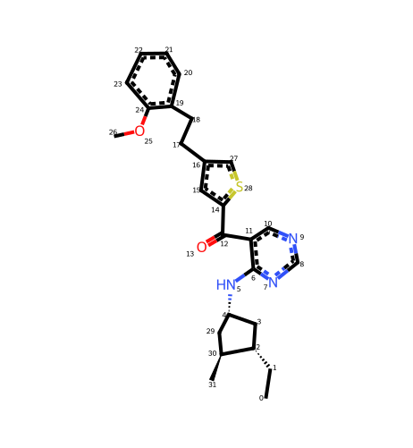 CC[C@H]1C[C@@H](Nc2ncncc2C(=O)c2cc(CCc3ccccc3OC)cs2)C[C@@H]1C